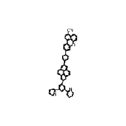 N#Cc1ccc2c3c(cccc13)Oc1cc(-c3ccc(-c4cc5ccc6cc(-c7cc(-c8ccccn8)cc(-c8ccccn8)c7)cc7ccc(c4)c5c67)cc3)ccc1-2